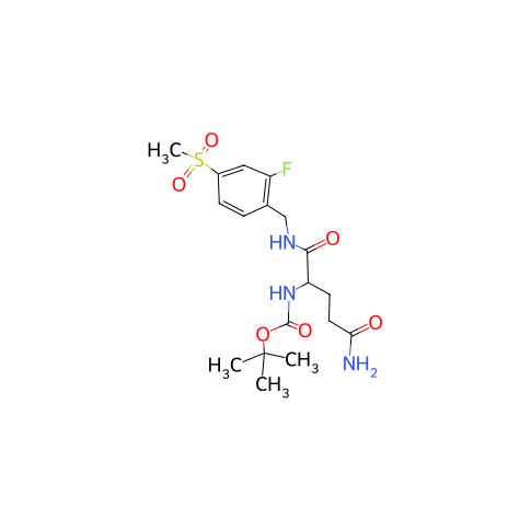 CC(C)(C)OC(=O)NC(CCC(N)=O)C(=O)NCc1ccc(S(C)(=O)=O)cc1F